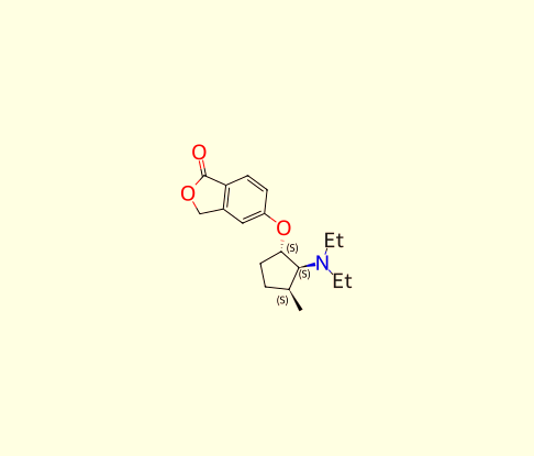 CCN(CC)[C@@H]1[C@@H](Oc2ccc3c(c2)COC3=O)CC[C@@H]1C